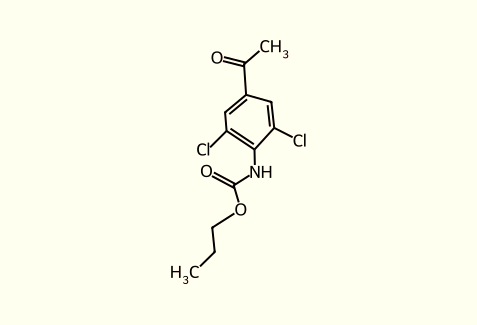 CCCOC(=O)Nc1c(Cl)cc(C(C)=O)cc1Cl